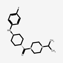 CC(C)N1CCN(C(=O)[C@H]2CC[C@H](Nc3ccc(F)cc3)CC2)CC1